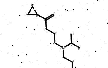 C=C(CCCN(CCC)C(C)C)C1CC1